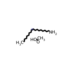 CC(=O)O.CCCCCCCC/C=C\CCCCCCCCN